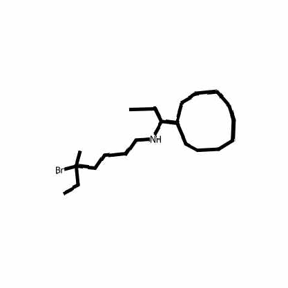 CCC(NCCCCC(C)(Br)CC)C1CCCCCCCCC1